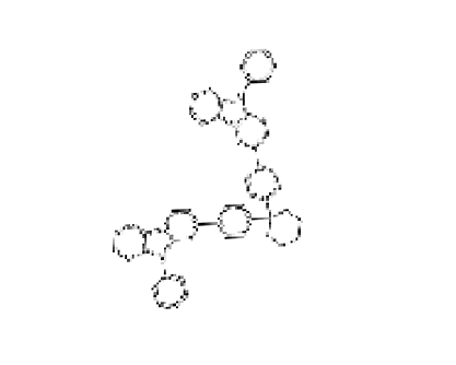 c1ccc(-n2c3ccccc3c3cc(-c4ccc(C5(c6ccc(-c7ccc8c9ccccc9n(-c9ccccc9)c8c7)cc6)CCCCC5)cc4)ccc32)cc1